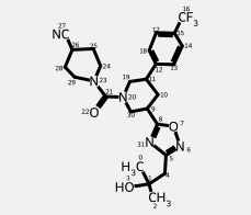 CC(C)(O)Cc1noc(C2CC(c3ccc(C(F)(F)F)cc3)CN(C(=O)N3CCC(C#N)CC3)C2)n1